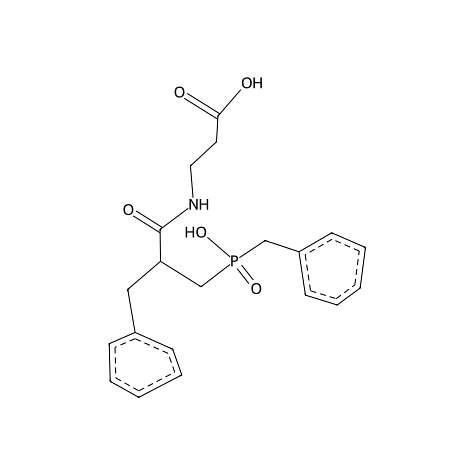 O=C(O)CCNC(=O)C(Cc1ccccc1)CP(=O)(O)Cc1ccccc1